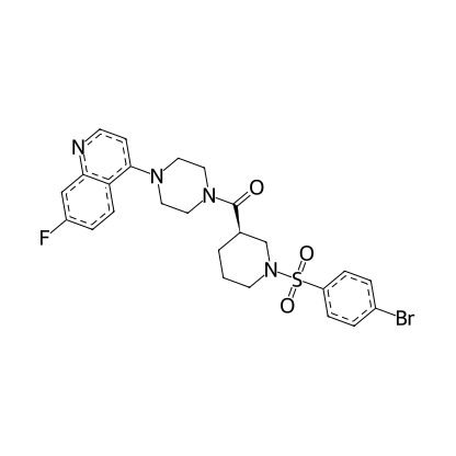 O=C([C@@H]1CCCN(S(=O)(=O)c2ccc(Br)cc2)C1)N1CCN(c2ccnc3cc(F)ccc23)CC1